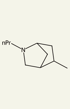 CCCN1CC2CC1CC2C